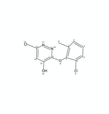 Cc1cccc(Cl)c1Oc1nnc(Cl)cc1O